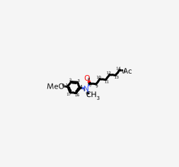 COc1ccc(N(C)C(=O)CCCCCCC(C)=O)cc1